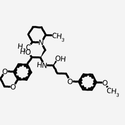 COc1ccc(OCC[C@H](O)N[C@H](CN2C(C)CCCC2C)C(O)c2ccc3c(c2)OCCO3)cc1